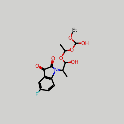 CCOC(O)OC(C)OC(O)C(C)N1C(=O)C(=O)c2cc(F)ccc21